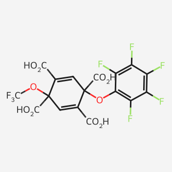 O=C(O)C1=CC(OC(F)(F)F)(C(=O)O)C(C(=O)O)=CC1(Oc1c(F)c(F)c(F)c(F)c1F)C(=O)O